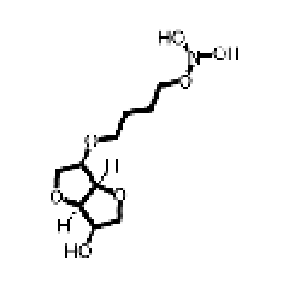 O[C@@H]1CO[C@H]2[C@@H]1OC[C@H]2OCCCCON(O)O